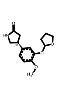 COc1ccc([C@H]2CNC(=O)C2)cc1OC1CCCO1